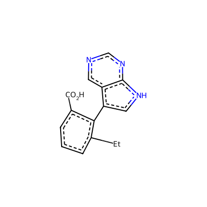 CCc1cccc(C(=O)O)c1-c1c[nH]c2ncncc12